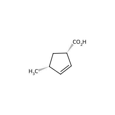 C[C@H]1C=C[C@@H](C(=O)O)C1